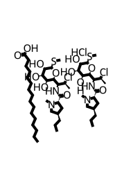 CCCCCCCCCCCCCCCC(=O)O.CCC[C@@H]1C[C@@H](C(=O)N[C@@H]([C@H]2O[C@H](SC)[C@H](O)[C@@H](O)[C@H]2O)[C@H](C)Cl)N(C)C1.CCC[C@@H]1C[C@@H](C(=O)N[C@@H]([C@H]2O[C@H](SC)[C@H](O)[C@@H](O)[C@H]2O)[C@H](C)Cl)N(C)C1.Cl